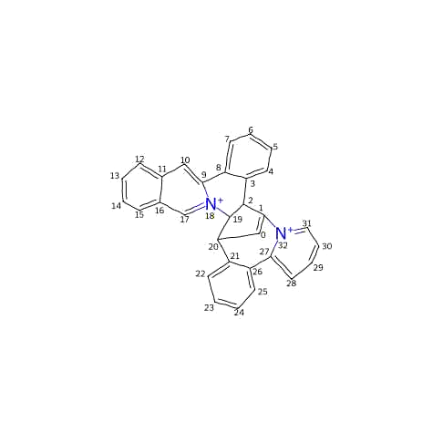 C1=C2C3c4ccccc4-c4cc5ccccc5c[n+]4C3C1c1ccccc1-c1cccc[n+]12